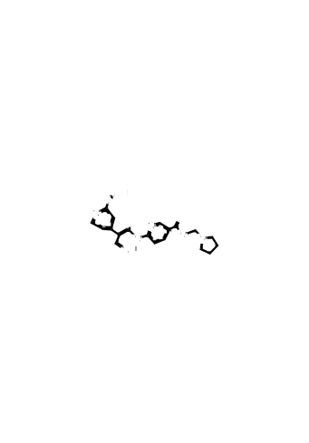 COc1cc(/C(C=N)=C(\O)Nc2ccc(C(=O)NCN3CCCC3)cn2)ccn1